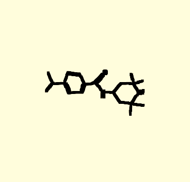 CC(C)c1ccc(C(=O)NC2CC(C)(C)NC(C)(C)C2)cc1